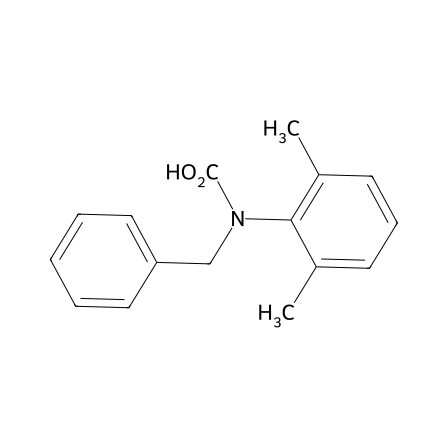 Cc1cccc(C)c1N(Cc1ccccc1)C(=O)O